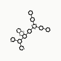 C1=CC2Oc3c(-c4ccc(-c5nc(-c6ccc(-c7ccccc7)cc6)nc(-c6ccc(-c7ccccc7)cc6)n5)cc4)ccc(-c4cc(-c5cccnc5)cc(-c5cccnc5)c4)c3OC2C=C1